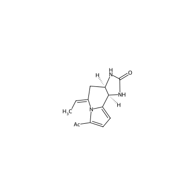 C/C=C1/C[C@H]2NC(=O)N[C@H]2c2ccc(C(C)=O)n21